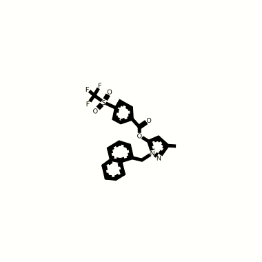 Cc1cc(OC(=O)c2ccc(S(=O)(=O)C(F)(F)F)cc2)n(Cc2cccc3ccccc23)n1